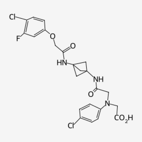 O=C(O)CN(CC(=O)NC12CC(NC(=O)COc3ccc(Cl)c(F)c3)(C1)C2)c1ccc(Cl)cc1